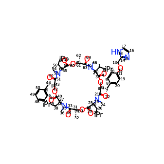 CC(C)C[C@H]1C(=O)O[C@H](Cc2ccc(OCc3ncc[nH]3)cc2)C(=O)N(C)[C@@H](CC(C)C)C(=O)O[C@H](C)C(=O)N(C)[C@@H](CC(C)C)C(=O)O[C@H](Cc2ccccc2)C(=O)N(C)[C@@H](CC(C)C)C(=O)O[C@H](C)C(=O)N1C